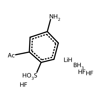 B.CC(=O)c1cc(N)ccc1S(=O)(=O)O.F.F.F.[LiH]